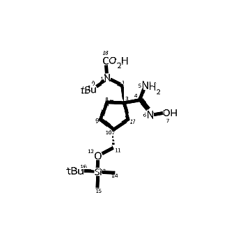 CC(C)(C)N(C[C@]1(C(N)=NO)CC[C@@H](CO[Si](C)(C)C(C)(C)C)C1)C(=O)O